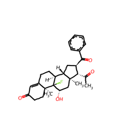 CC(=O)[C@H]1[C@H](C(=O)c2ccccc2)C[C@H]2[C@@H]3CCC4=CC(=O)CC[C@]4(C)[C@@]3(F)[C@@H](O)C[C@@]21C